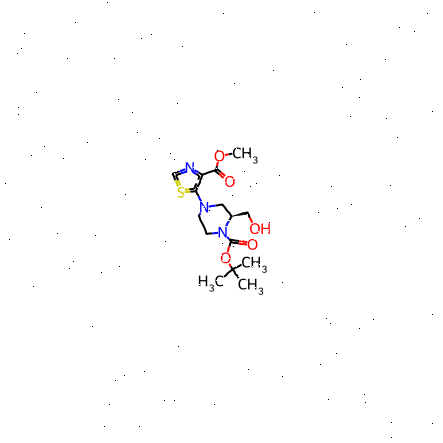 COC(=O)c1ncsc1N1CCN(C(=O)OC(C)(C)C)[C@H](CO)C1